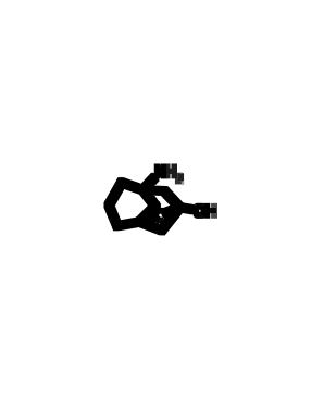 NC12CCCC3(C1)CC(O)(C2)C3